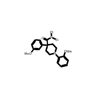 CCN(CC)C(=O)C1(c2cccc(OC)c2)CCN(c2ccccc2OC)CC1